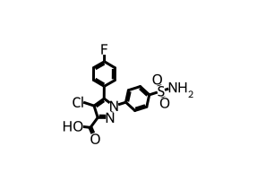 NS(=O)(=O)c1ccc(-n2nc(C(=O)O)c(Cl)c2-c2ccc(F)cc2)cc1